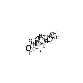 Cc1c(F)cccc1C(=O)NC1CC[C@H]2[C@@H]3CCC4N(C)C(=O)CC[C@]4(C)[C@@H]3CC[C@]12C